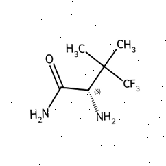 CC(C)([C@H](N)C(N)=O)C(F)(F)F